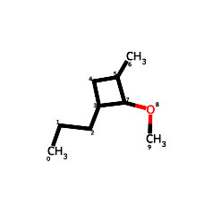 CCCC1CC(C)C1OC